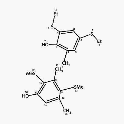 CCSc1cc(C)c(O)c(SCC)c1.CSc1c(C)cc(O)c(SC)c1C